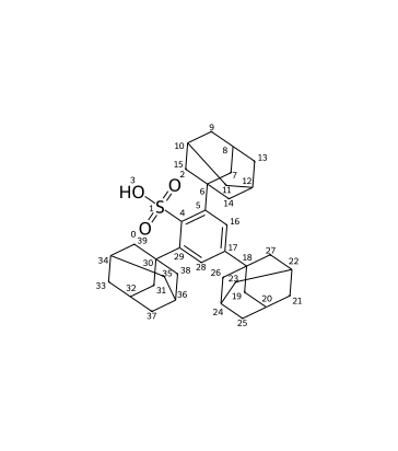 O=S(=O)(O)c1c(C23CC4CC(CC(C4)C2)C3)cc(C23CC4CC(CC(C4)C2)C3)cc1C12CC3CC(CC(C3)C1)C2